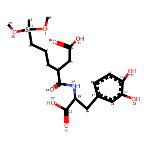 CO[Si](C)(CCCC(CC(=O)O)C(=O)NC(Cc1ccc(O)c(O)c1)C(=O)O)OC